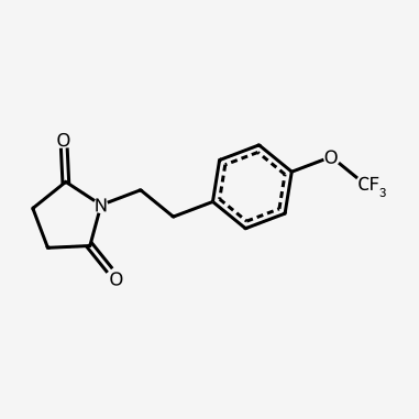 O=C1CCC(=O)N1CCc1ccc(OC(F)(F)F)cc1